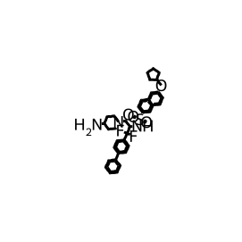 NC1CCN(C(=O)C(NS(=O)(=O)c2ccc3cc(OC4CCCC4)ccc3c2)C(F)(F)c2ccc(-c3ccccc3)cc2)CC1